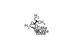 C=CC(OC(=O)C(=C)C)O[Si](OC)(OC)OC